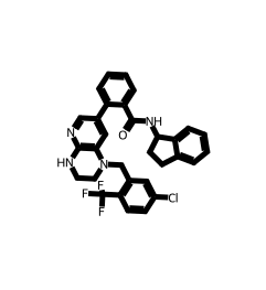 O=C(NC1CCc2ccccc21)c1ccccc1-c1cnc2c(c1)N(Cc1cc(Cl)ccc1C(F)(F)F)CCN2